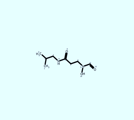 CC(C)CNC(=O)CCN(O)C=O